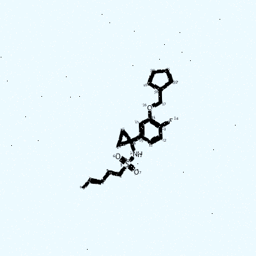 C/C=C/CCS(=O)(=O)NC1(c2ccc(F)c(OCC3CCCC3)c2)CC1